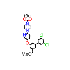 COCc1cc(Oc2ccc(N3CCN(C(=O)OC(C)(C)C)CC3)nc2)cc(-c2cc(Cl)cc(Cl)c2)c1